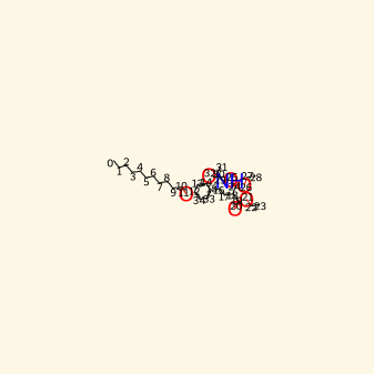 CCCCCCCCCCCOc1ccc(C(CC(C(=O)OCC)C(=O)OCC)NC(C)=O)cc1